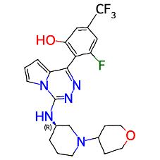 Oc1cc(C(F)(F)F)cc(F)c1-c1nnc(N[C@@H]2CCCN(C3CCOCC3)C2)n2cccc12